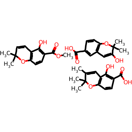 CC1(C)Oc2ccc(C(=O)O)cc2C=C1O.CC1=Cc2c(ccc(C(=O)O)c2O)OC1(C)C.COC(=O)c1ccc2c(c1O)C=CC(C)(C)O2